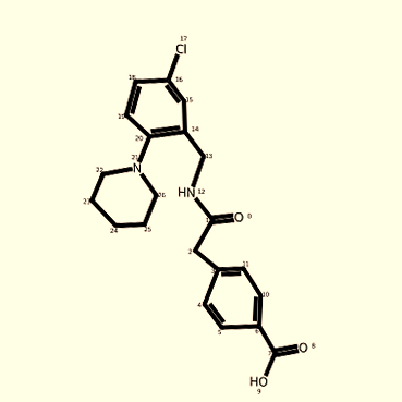 O=C(Cc1ccc(C(=O)O)cc1)NCc1cc(Cl)ccc1N1CCCCC1